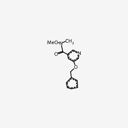 CON(C)C(=O)c1cncc(OCc2ccccc2)c1